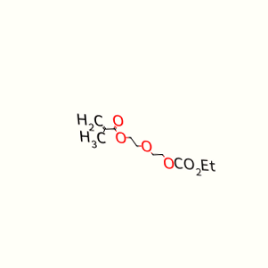 C=C(C)C(=O)OCCOCCOC(=O)OCC